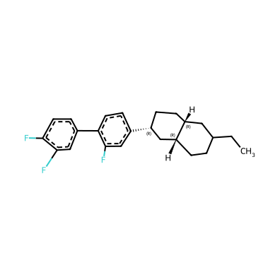 CCC1CC[C@@H]2C[C@H](c3ccc(-c4ccc(F)c(F)c4)c(F)c3)CC[C@@H]2C1